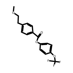 COCCc1ccc(C(=O)Oc2ccc(OC(F)(F)F)cc2)cc1